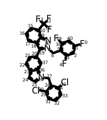 Fc1cc(F)c(Cn2nc3c(C(F)(F)F)cccc3c2-c2ccc3ccn(Cc4c(Cl)cccc4Cl)c3c2)c(F)c1